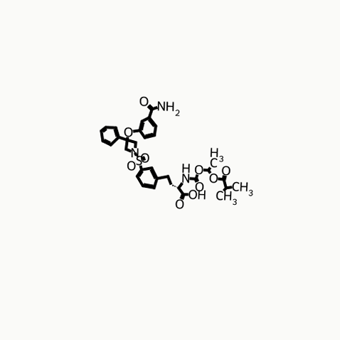 CC(OC(=O)N[C@@H](CCc1cccc(S(=O)(=O)N2CC(Oc3cccc(C(N)=O)c3)(c3ccccc3)C2)c1)C(=O)O)OC(=O)C(C)C